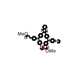 COC(=O)CCc1ccc(N(c2ccc(-c3nc4ccccc4nc3-c3ccc(N(c4ccc(CCC(=O)OC)cc4)c4ccc(-n5cccc5)cc4)cc3)cc2)c2ccc(-n3cccc3)cc2)cc1